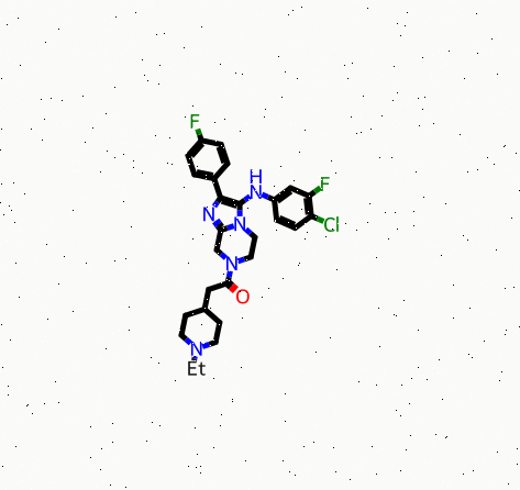 CCN1CCC(CC(=O)N2CCn3c(nc(-c4ccc(F)cc4)c3Nc3ccc(Cl)c(F)c3)C2)CC1